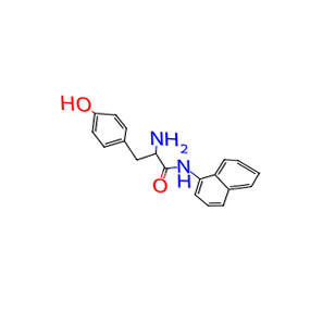 NC(Cc1ccc(O)cc1)C(=O)Nc1cccc2ccccc12